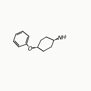 [NH][C@H]1CC[C@@H](Oc2ccccc2)CC1